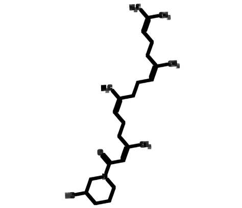 CC(C)=CCCC(C)=CCCC(C)=CCCC(C)=CC(=O)N1CCCC(O)C1